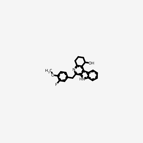 COc1ccc(Cc2nc3c(c4c2[nH]c2ccccc24)C(O)CCC3)cc1F